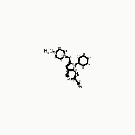 CN1CCN(Cc2cc3cnc(C#N)nc3n2C2CCCCC2)CC1